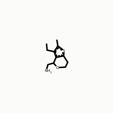 CCc1c(C)sc2c1C(CN)OCC2